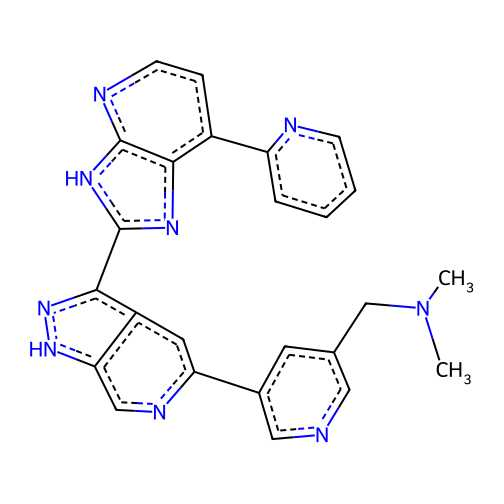 CN(C)Cc1cncc(-c2cc3c(-c4nc5c(-c6ccccn6)ccnc5[nH]4)n[nH]c3cn2)c1